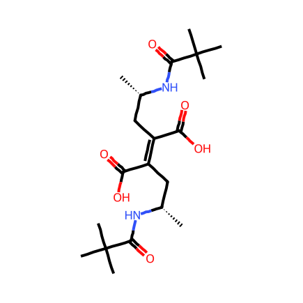 C[C@@H](CC(C(=O)O)=C(C[C@H](C)NC(=O)C(C)(C)C)C(=O)O)NC(=O)C(C)(C)C